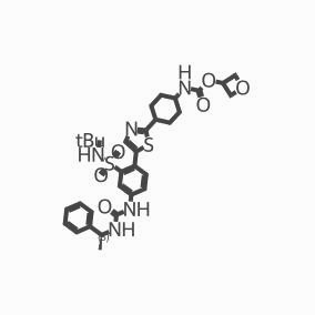 C[C@H](NC(=O)Nc1ccc(-c2cnc(C3CCC(NC(=O)OC4COC4)CC3)s2)c(S(=O)(=O)NC(C)(C)C)c1)c1ccccc1